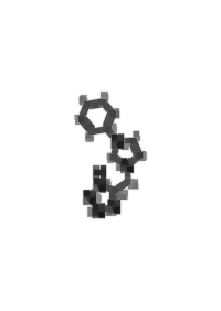 C1=CN(c2ccccc2)CN1Cc1nnn[nH]1